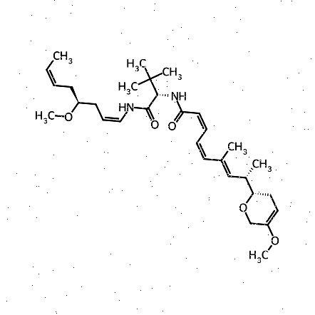 C/C=C\C[C@@H](C/C=C\NC(=O)[C@@H](NC(=O)\C=C/C=C\C(C)=C\[C@H](C)[C@@H]1CC=C(OC)CO1)C(C)(C)C)OC